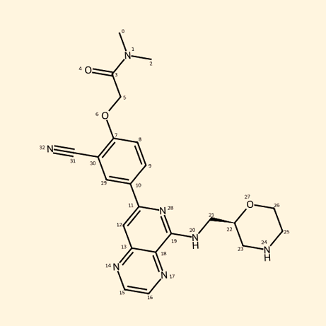 CN(C)C(=O)COc1ccc(-c2cc3nccnc3c(NC[C@@H]3CNCCO3)n2)cc1C#N